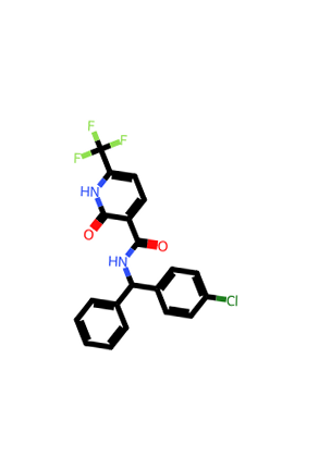 O=C(NC(c1ccccc1)c1ccc(Cl)cc1)c1ccc(C(F)(F)F)[nH]c1=O